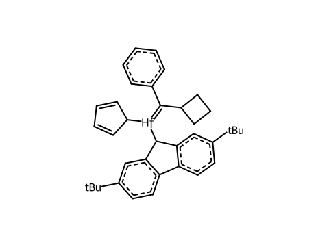 CC(C)(C)c1ccc2c(c1)[CH]([Hf](=[C](c1ccccc1)C1CCC1)[CH]1C=CC=C1)c1cc(C(C)(C)C)ccc1-2